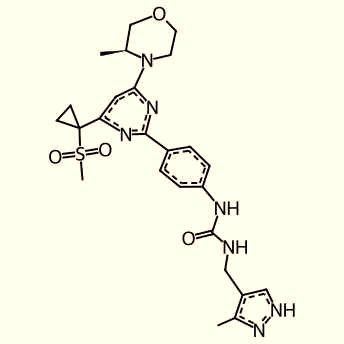 Cc1n[nH]cc1CNC(=O)Nc1ccc(-c2nc(N3CCOC[C@@H]3C)cc(C3(S(C)(=O)=O)CC3)n2)cc1